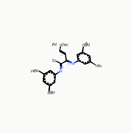 CCCCCCCCCC/C=C/C(=N\c1cc(CCCC)cc(CCCC)c1)C(/CC)=N/c1cc(CCCC)cc(CCCC)c1.[Pd]